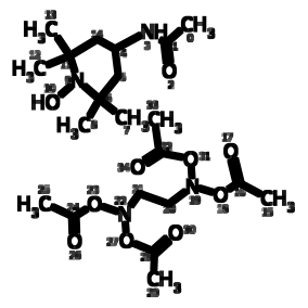 CC(=O)NC1CC(C)(C)N(O)C(C)(C)C1.CC(=O)ON(CCN(OC(C)=O)OC(C)=O)OC(C)=O